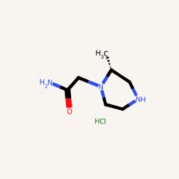 C[C@@H]1CNCCN1CC(N)=O.Cl